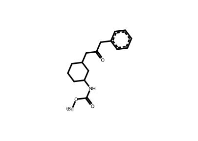 CC(C)(C)OC(=O)NC1CCCC(CC(=O)Cc2ccccc2)C1